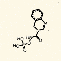 O=C(NOP(=O)(O)O)N1C=Nc2ccccc2C1